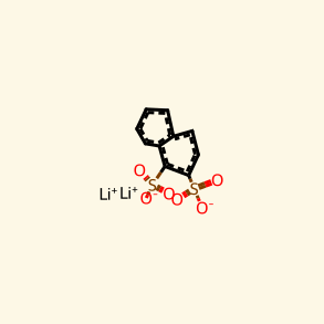 O=S(=O)([O-])c1ccc2ccccc2c1S(=O)(=O)[O-].[Li+].[Li+]